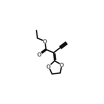 C#CC(C(=O)OCC)=C1OCCO1